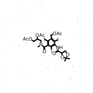 CC(=O)OCc1c(I)c(NC(=O)C2COC(C)(C)O2)c(I)c(C(=O)N(C)CC(COC(C)=O)OC(C)=O)c1I